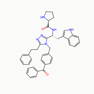 O=C(c1ccccc1)c1ccc(Cn2c(CCc3ccccc3)nnc2[C@@H](Cc2c[nH]c3ccccc23)NC(=O)[C@@H]2CCCN2)cc1